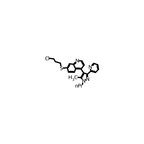 CCCn1nc(-c2ccccn2)c(-c2ccnc3cc(SCCCCl)ccc23)c1C